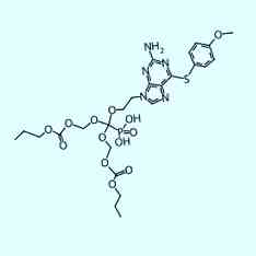 CCCOC(=O)OCOC(OCCn1cnc2c(Sc3ccc(OC)cc3)nc(N)nc21)(OCOC(=O)OCCC)P(=O)(O)O